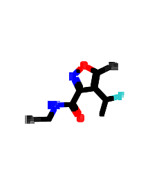 CCc1onc(C(=O)NCC(C)C)c1C(C)F